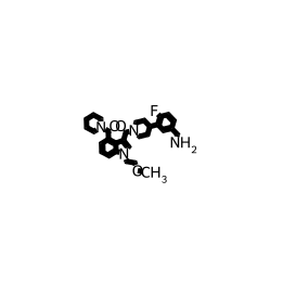 COCCn1cc(C(=O)N2CCC(c3cc(CN)ccc3F)CC2)c2c(C(=O)N3CCCCC3)cccc21